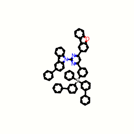 c1ccc(-c2cccc([Si](c3ccccc3)(c3cccc(-c4ccccc4)c3)c3cccc(-c4cc(-c5ccc6oc7ccccc7c6c5)nc(-n5c6ccccc6c6cc(-c7ccccc7)ccc65)n4)c3)c2)cc1